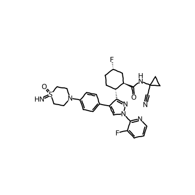 N#CC1(NC(=O)[C@@H]2C[C@@H](F)CC[C@H]2c2nn(-c3ncccc3F)cc2-c2ccc(N3CCS(=N)(=O)CC3)cc2)CC1